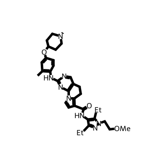 CCc1nn(CCOC)c(CC)c1NC(=O)c1ccn2c1CCc1cnc(Nc3ccc(OC4CCN(C)CC4)cc3C)nc1-2